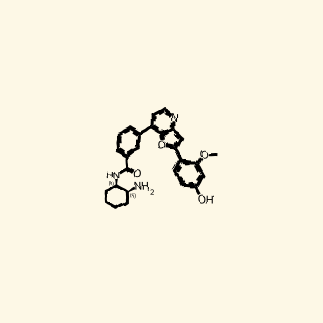 COc1cc(O)ccc1-c1cc2nccc(-c3cccc(C(=O)N[C@@H]4CCCC[C@@H]4N)c3)c2o1